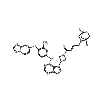 Cc1cc(Nc2ncnn3ccc(C4CN(C(=O)/C=C/CN5C[C@H]6C[C@@H]5CO6)C4)c23)ccc1Oc1ccn2ncnc2c1